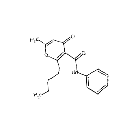 CCCCc1oc(C)cc(=O)c1C(=O)Nc1ccccc1